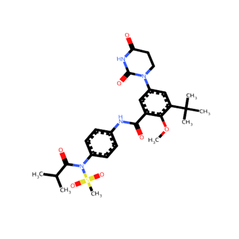 COc1c(C(=O)Nc2ccc(N(C(=O)C(C)C)S(C)(=O)=O)cc2)cc(N2CCC(=O)NC2=O)cc1C(C)(C)C